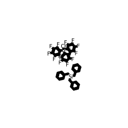 C[B-](c1c(F)c(F)c(F)c(F)c1F)(c1c(F)c(F)c(F)c(F)c1F)c1c(F)c(F)c(F)c(F)c1F.c1ccc(C[Si+](Cc2ccccc2)Cc2ccccc2)cc1